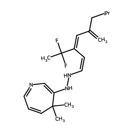 C=C(/C=C(\C=C/NNC1=CN=CC=CC1(C)C)C(C)(F)F)CC(C)C